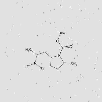 CCN(CC)P(C)CC1CCC(C)N1C(=O)OC(C)(C)C